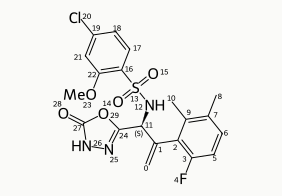 C=C(c1c(F)ccc(C)c1C)[C@H](NS(=O)(=O)c1ccc(Cl)cc1OC)c1n[nH]c(=O)o1